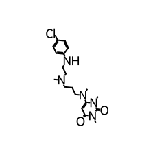 CN(CCCN(C)c1cc(=O)n(C)c(=O)n1C)CCNc1ccc(Cl)cc1